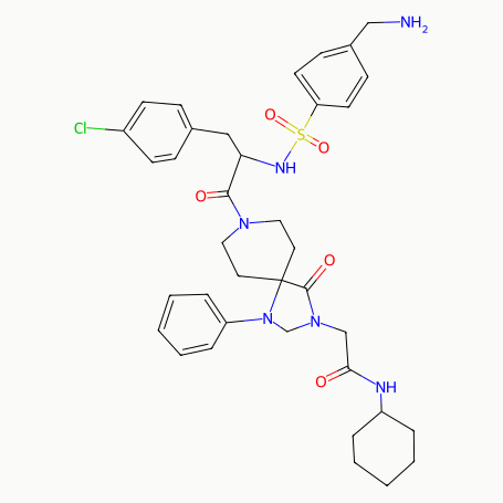 NCc1ccc(S(=O)(=O)NC(Cc2ccc(Cl)cc2)C(=O)N2CCC3(CC2)C(=O)N(CC(=O)NC2CCCCC2)CN3c2ccccc2)cc1